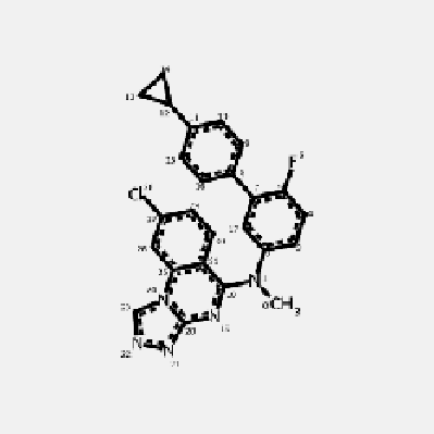 CN(c1ccc(F)c(-c2ccc(C3CC3)cc2)c1)c1nc2nncn2c2cc(Cl)ccc12